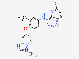 Cc1cc(Nc2ncnc3ccc(Cl)nc23)ccc1Oc1ccn2c(c1)nc[n+]2C